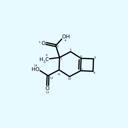 CC1(C(=O)O)CC2=C(CC2)CC1C(=O)O